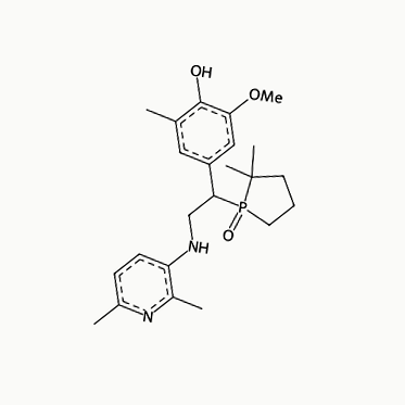 COc1cc(C(CNc2ccc(C)nc2C)P2(=O)CCCC2(C)C)cc(C)c1O